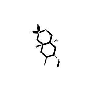 CO[C@H]1C[C@@H]2CSS(=O)(=O)C[C@H]2C[C@@H]1F